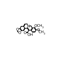 COc1ccc2c(c1OC)CN1CC=C3CC4=C(C=C3C1=C2C(=O)O)OCO4